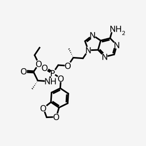 CCOC(=O)[C@@H](C)NP(=O)(CO[C@H](C)Cn1cnc2c(N)ncnc21)Oc1ccc2c(c1)OCO2